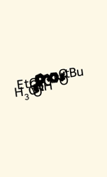 CCOC(=O)C1(Cc2cccc(NS(C)(=O)=O)c2)CCN(C(=O)OC(C)(C)C)CC1